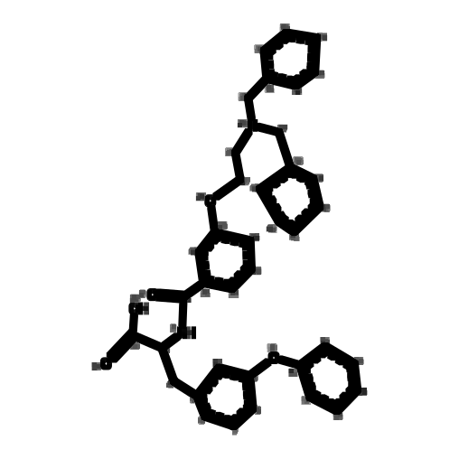 O=C(NC(Cc1cccc(Oc2ccccc2)c1)C(=O)O)c1cccc(OCCN(Cc2ccccc2)Cc2ccccc2)c1